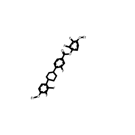 CCOc1ccc(OC(=O)c2ccc(C3CCC(c4ccc(OCC)c(F)c4F)CC3)c(F)c2)c(F)c1F